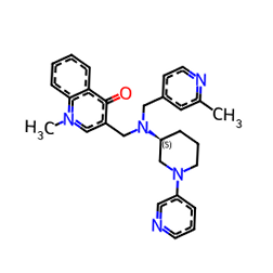 Cc1cc(CN(Cc2cn(C)c3ccccc3c2=O)[C@H]2CCCN(c3cccnc3)C2)ccn1